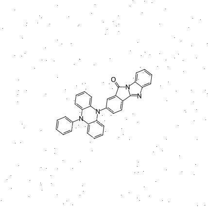 O=C1c2cc(N3c4ccccc4N(c4ccccc4)c4ccccc43)ccc2-c2nc3ccccc3n21